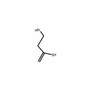 C=C(S)CCCCC